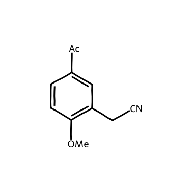 COc1ccc(C(C)=O)cc1CC#N